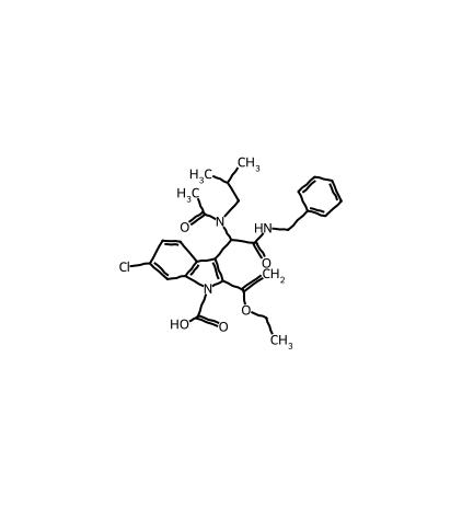 C=C(OCC)c1c(C(C(=O)NCc2ccccc2)N(CC(C)C)C(C)=O)c2ccc(Cl)cc2n1C(=O)O